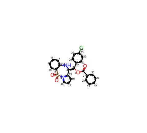 O=C(OC(=C1Nc2ccccc2S(=O)(=O)n2cccc21)c1ccc(Cl)cc1)c1ccccc1